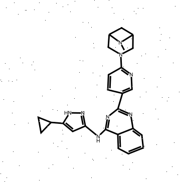 CN1C2CC1CN(c1ccc(-c3nc(Nc4cc(C5CC5)[nH]n4)c4ccccc4n3)cn1)C2